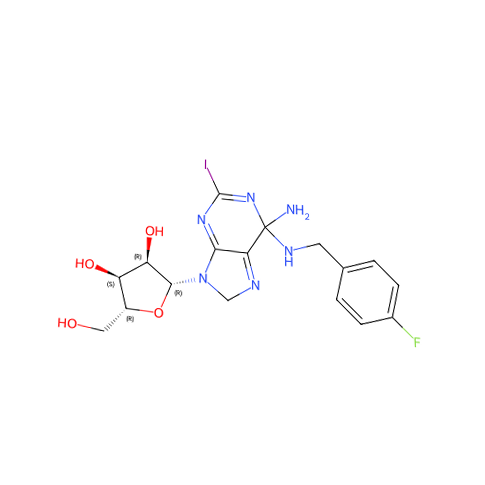 NC1(NCc2ccc(F)cc2)N=C(I)N=C2C1=NCN2[C@@H]1O[C@H](CO)[C@@H](O)[C@H]1O